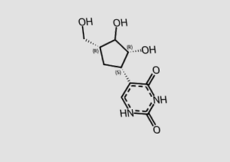 O=c1[nH]cc([C@@H]2C[C@H](CO)C(O)[C@@H]2O)c(=O)[nH]1